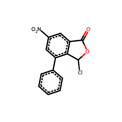 O=C1OC(Cl)c2c1cc([N+](=O)[O-])cc2-c1ccccc1